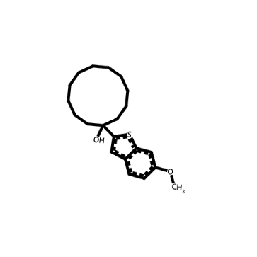 COc1ccc2cc(C3(O)CCCCCCCCCCC3)sc2c1